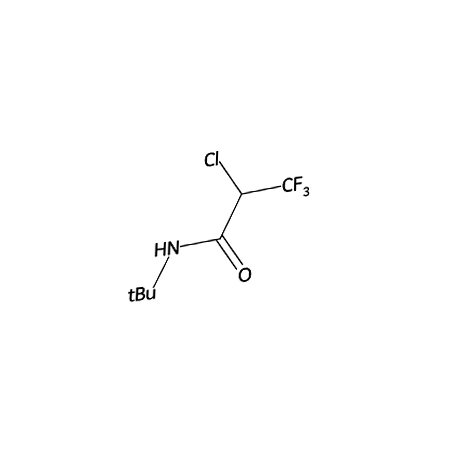 CC(C)(C)NC(=O)C(Cl)C(F)(F)F